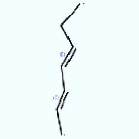 [CH2]/C=C/C=C/C[CH2]